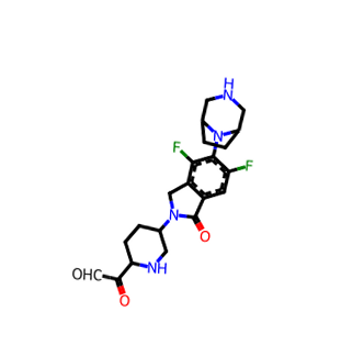 O=CC(=O)C1CCC(N2Cc3c(cc(F)c(N4C5CCC4CNC5)c3F)C2=O)CN1